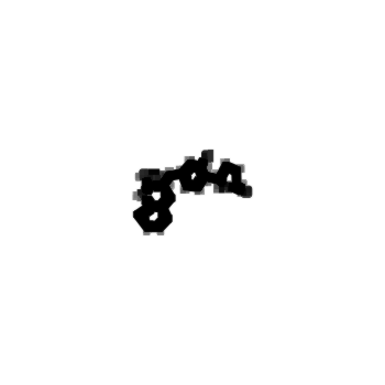 COc1nc2ccccc2cc1Cc1ccc(C2CCC(=O)N2)c(Cl)c1